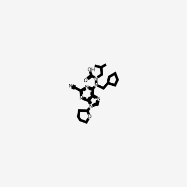 CC(C)CN(C(=O)O)N(CC1CCCC1)c1nc(C#N)nc2c1ncn2C1CCCCO1